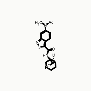 CC(=O)N(C)c1ccc2c(C(=O)N[C@@H]3CN4CCC3CC4)snc2c1